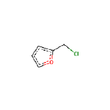 Cl[CH]c1ccco1